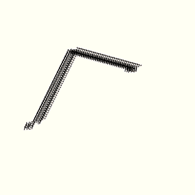 Cl.Cl.Cl.Cl.Cl.Cl.[Mg+2].[Mg+2].[Mg+2].[Mg+2].[Mg+2].[Mg+2].[Mg+2].[Mg+2].[Mg+2].[Mg+2].[Mg+2].[Mg+2].[Mg+2].[Mg+2].[Mg+2].[Mg+2].[Mg+2].[Mg+2].[Mg+2].[Mg+2].[Mg+2].[Mg+2].[Mg+2].[Mg+2].[Mg+2].[Mg+2].[Mg+2].[Mg+2].[Mg+2].[Mg+2].[Mg+2].[Mg+2].[Mg+2].[Mg+2].[Mg+2].[Mg+2].[Mg+2].[Mg+2].[Mg+2].[Mg+2].[Mg+2].[Mg+2].[Mg+2].[Mg+2].[Mg+2].[Mg+2].[Mg+2].[Mg+2].[Mg+2].[Mg+2].[Mg+2].[Mg+2].[Mg+2].[Mg+2].[Mg+2].[Mg+2].[Mg+2].[Mg+2].[Mg+2].[Mg+2].[Mg+2].[Mg+2].[Mg+2].[Mg+2].[Mg+2].[Mg+2].[Mg+2].[Mg+2].[Mg+2].[Mg+2].[Mg+2].[Mg+2]